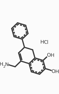 Cl.NCC1=CC(c2ccccc2)Cc2c1ccc(O)c2O